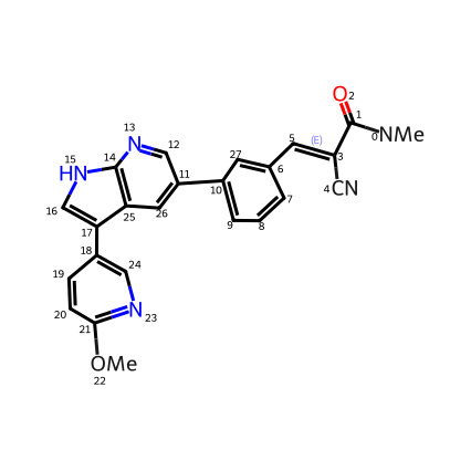 CNC(=O)/C(C#N)=C/c1cccc(-c2cnc3[nH]cc(-c4ccc(OC)nc4)c3c2)c1